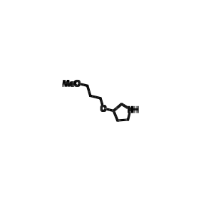 COCCCOC1CCNC1